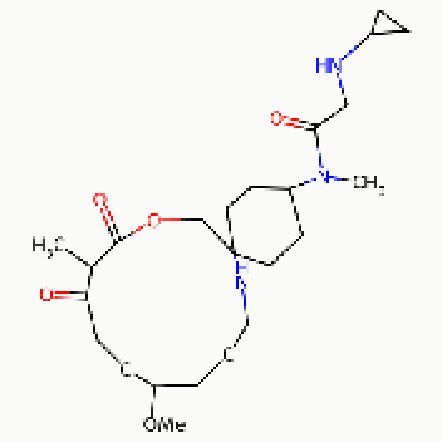 COC1CCCNC2(CCC(N(C)C(=O)CNC3CC3)CC2)COC(=O)C(C)C(=O)CC1